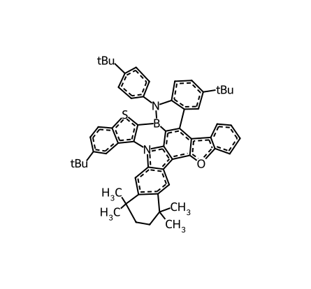 CC(C)(C)c1ccc(N2B3c4sc5ccc(C(C)(C)C)cc5c4-n4c5cc6c(cc5c5c7oc8ccccc8c7c(c3c54)-c3cc(C(C)(C)C)ccc32)C(C)(C)CCC6(C)C)cc1